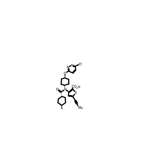 CC(C)(C)C#Cc1cc(N(C(=O)[C@H]2CC[C@H](C)CC2)[C@H]2CC[C@H](Oc3ccc(Cl)nn3)CC2)c(C(=O)O)s1